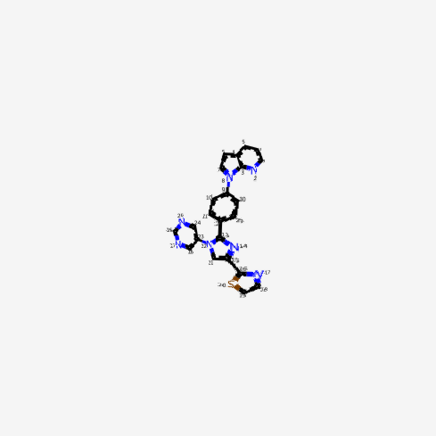 c1cnc2c(c1)ccn2-c1ccc(-c2nc(-c3nccs3)cn2-c2cncnc2)cc1